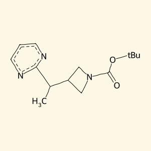 CC(c1ncccn1)C1CN(C(=O)OC(C)(C)C)C1